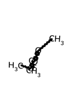 CCCCCCCCCCCCOc1ccc(-c2ccc(OC(=O)c3ccc(OC(C)CCCCCC)c(F)c3)cc2)cc1